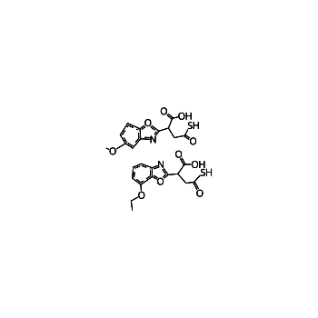 CCOc1cccc2nc(C(CC(=O)S)C(=O)O)oc12.COc1ccc2oc(C(CC(=O)S)C(=O)O)nc2c1